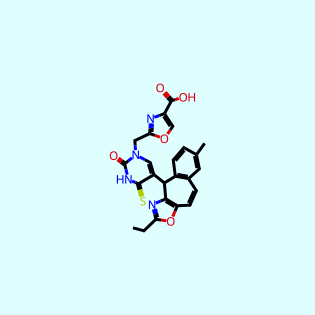 CCc1nc2c(o1)C=Cc1cc(C)ccc1C2c1cn(Cc2nc(C(=O)O)co2)c(=O)[nH]c1=S